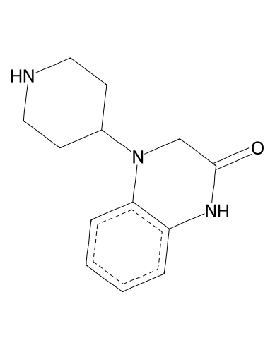 O=C1CN(C2CCNCC2)c2ccccc2N1